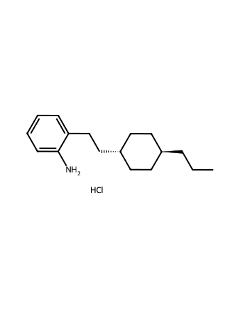 CCC[C@H]1CC[C@H](CCc2ccccc2N)CC1.Cl